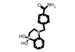 NC(=O)c1ccc(CN2CCS(O)(O)c3ccccc32)cc1